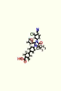 CC1(C)C(=O)N(c2ccc(C#N)c(Cl)c2)C(=S2C=CCO2)N1c1ccc(-c2ccc(C(=O)O)c(F)c2)cc1